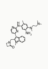 Cc1cc(N(C)CCN(C)C)c(N)cc1Nc1nccc(-c2c(CN3CCC3=O)n(C)c3ccccc23)n1